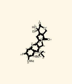 CC[C@@]1(O)C(=O)OCc2c1cc1n(c2=O)Cc2c-1nc1cc(F)c(OC)cc1c2[Si](C)(C)C(C)(C)C